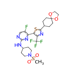 CS(=O)(=O)N1CCC(Nc2ncc(F)c(-c3sc(C4CCC5(CC4)OCCO5)nc3C(F)(F)F)n2)CC1